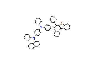 c1ccc(-c2c(-c3ccc(N(c4ccccc4)c4ccc(N(c5ccccc5)c5cccc6ccccc56)cc4)cc3)c3ccccc3c3c2sc2ccccc23)cc1